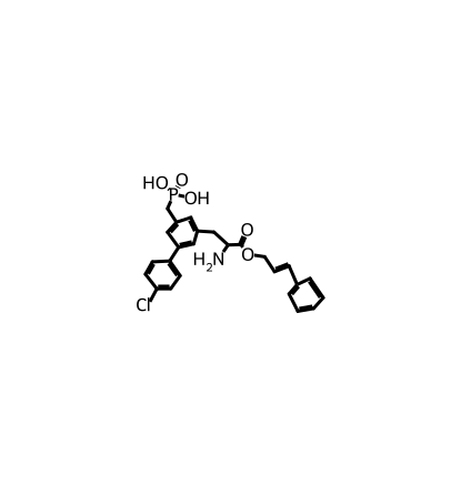 NC(Cc1cc(CP(=O)(O)O)cc(-c2ccc(Cl)cc2)c1)C(=O)OC/C=C/c1ccccc1